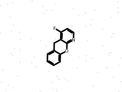 Fc1ccnc2c1Cc1ccccc1O2